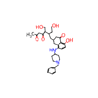 CC(=O)CC(=O)C(CO)C(CCO)CC1CC(=O)c2c(O)ccc(NC3CCN(Cc4ccccc4)CC3)c2C1